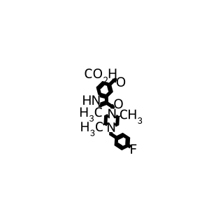 Cc1[nH]c2ccc(C(=O)C(=O)O)cc2c1C(=O)N1C[C@H](C)N(Cc2ccc(F)cc2)C[C@H]1C